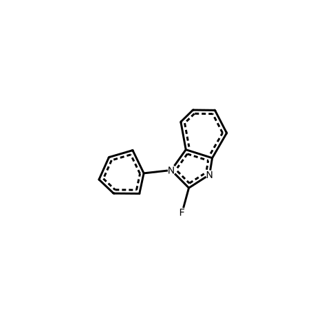 Fc1nc2ccccc2n1-c1ccccc1